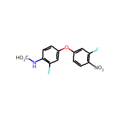 O=C(O)Nc1ccc(Oc2ccc([N+](=O)[O-])c(F)c2)cc1F